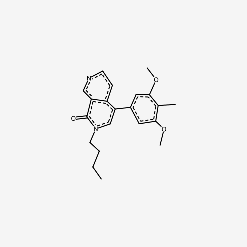 CCCCn1cc(-c2cc(OC)c(C)c(OC)c2)c2ccncc2c1=O